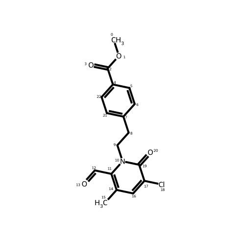 COC(=O)c1ccc(CCn2c(C=O)c(C)cc(Cl)c2=O)cc1